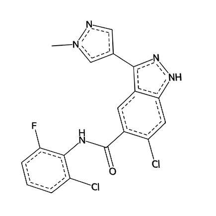 Cn1cc(-c2n[nH]c3cc(Cl)c(C(=O)Nc4c(F)cccc4Cl)cc23)cn1